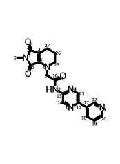 CN1C(=O)C2=C(C1=O)N(CC(=O)Nc1cnc(-c3cccnc3)cn1)CCC2